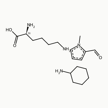 Cn1cccc1C=O.NC1CCCCC1.NCCCC[C@H](N)C(=O)O